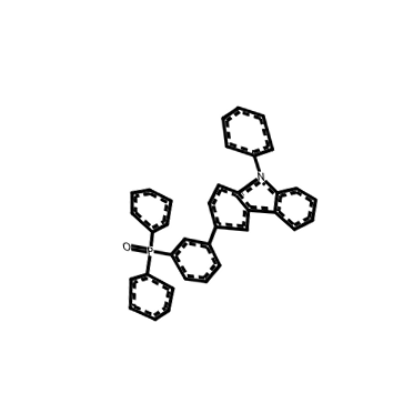 O=P(c1ccccc1)(c1ccccc1)c1cccc(-c2ccc3c(c2)c2ccccc2n3-c2ccccc2)c1